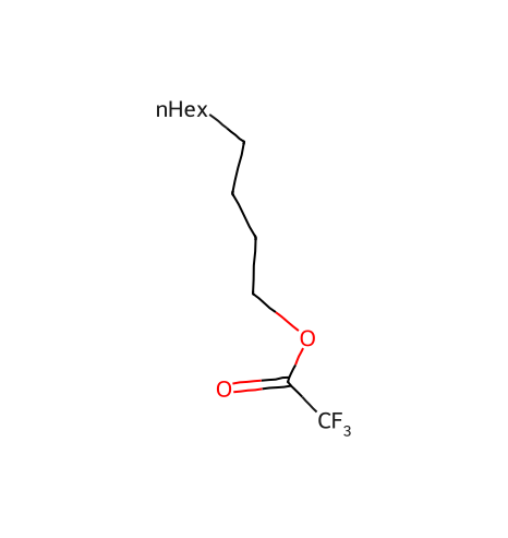 [CH2]CCCCCCCCCOC(=O)C(F)(F)F